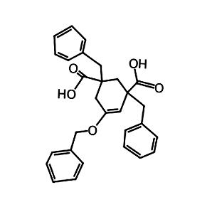 O=C(O)C1(Cc2ccccc2)C=C(OCc2ccccc2)CC(Cc2ccccc2)(C(=O)O)C1